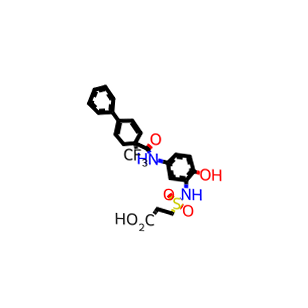 O=C(O)CCS(=O)(=O)Nc1cc(NC(=O)C2(C(F)(F)F)C=CC(c3ccccc3)=CC2)ccc1O